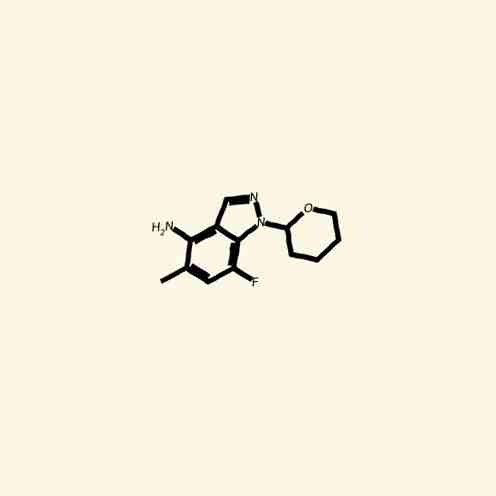 Cc1cc(F)c2c(cnn2C2CCCCO2)c1N